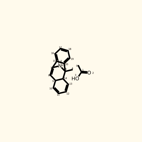 CC(=O)O.CC12NC(=CC3C=CC=CC31)c1ccccc12